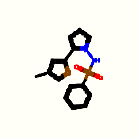 Cc1csc(-c2cccn2NS(=O)(=O)c2ccccc2)c1